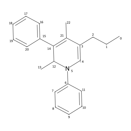 CCCC1=[C]N(c2ccccc2)C(C)C(c2ccccc2)=C1C